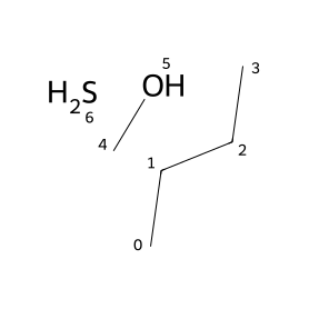 CCCC.CO.S